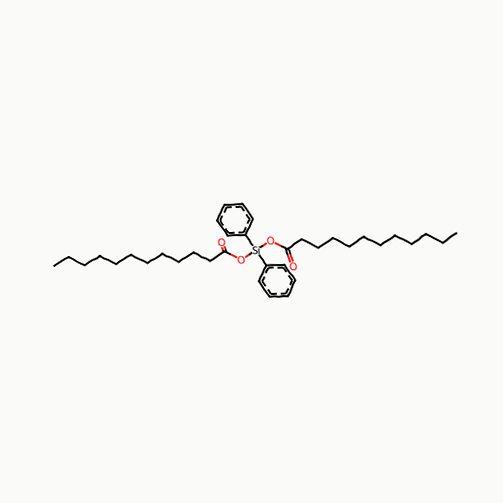 CCCCCCCCCCCC(=O)O[Si](OC(=O)CCCCCCCCCCC)(c1ccccc1)c1ccccc1